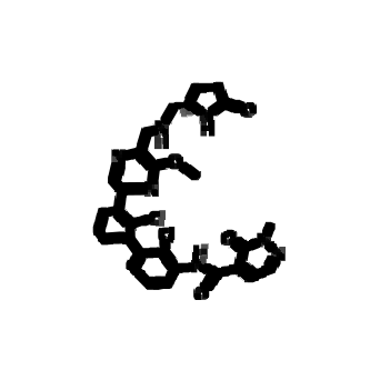 COc1nc(-c2cccc(-c3cccc(NC(=O)c4ccnn(C)c4=O)c3Cl)c2Cl)cnc1CNC[C@@H]1CCC(=O)N1